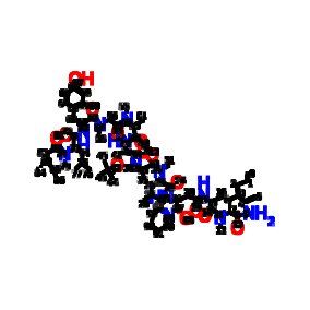 C=C/C=C(\C=C)C[C@@H](C(N)=O)N(C)C(=O)C(C)NC(=O)CC(NC(=O)[C@H](CC(C)C)N(C)C(=O)C(C)N(C)C(=O)[C@H](COC(C)(C)C)NC(=O)[C@H](C)N(C)C(=O)CN(C)C(=O)[C@H](Cc1ccc(O)cc1)NC(=O)[C@H](CC(C)C)N(C)C(=O)C[C@@H](C)CC)C(=O)N1CCCCC1